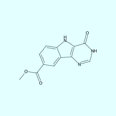 COC(=O)c1ccc2[nH]c3c(=O)[nH]cnc3c2c1